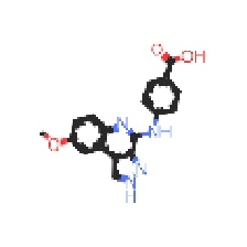 COc1ccc2nc(Nc3ccc(C(=O)O)cc3)c3n[nH]cc3c2c1